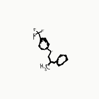 CC(C[CH]c1ccc(C(F)(F)F)cc1)c1ccccc1